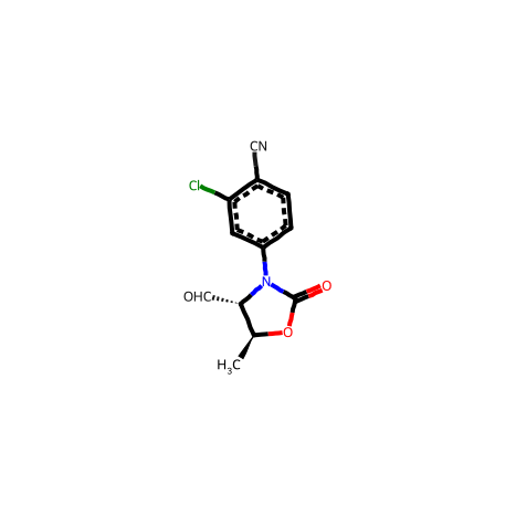 C[C@@H]1OC(=O)N(c2ccc(C#N)c(Cl)c2)[C@H]1C=O